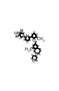 Cc1cc(COc2c(C)cccc2-c2cccc(N3C[C@@H]4N[C@@H]4C3)n2)cc2c1CN(C1CCOCC1)CCC2